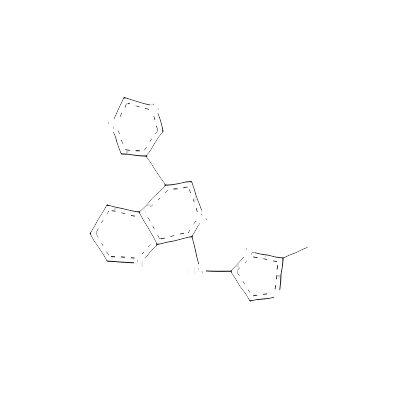 Cc1nc(Nc2ncc(-c3cncnc3)c3cccnc23)cs1